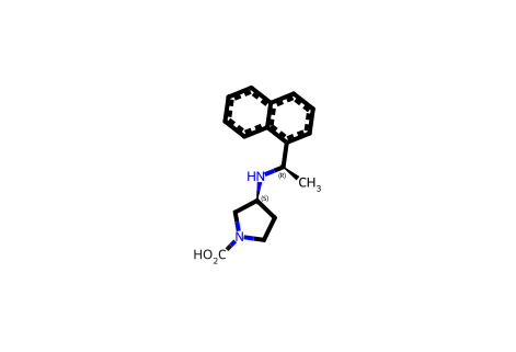 C[C@@H](N[C@H]1CCN(C(=O)O)C1)c1cccc2ccccc12